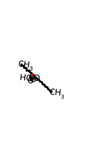 CCCCCCCCCCCCOC(CCCCCCCCCCC)OS(=O)(=O)O